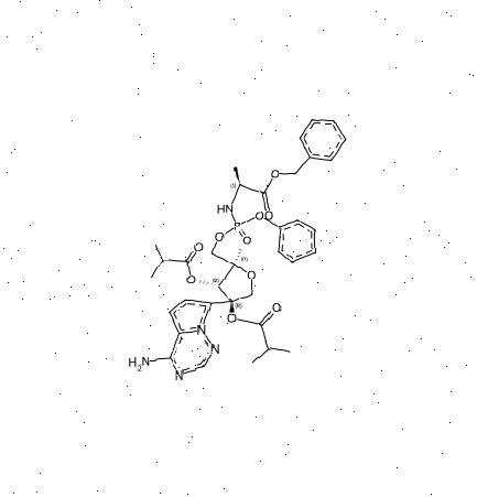 CC(C)C(=O)O[C@@H]1[C@@](C)(COP(=O)(N[C@@H](C)C(=O)OCc2ccccc2)Oc2ccccc2)OC[C@]1(OC(=O)C(C)C)c1ccc2c(N)ncnn12